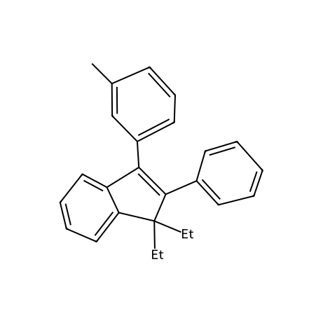 CCC1(CC)C(c2ccccc2)=C(c2cccc(C)c2)c2ccccc21